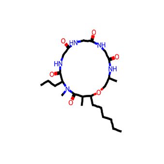 CCCCCCC1OCC(C)NC(=O)CNC(=O)CNC(=O)CNC(=O)C(CCC)N(C)C(=O)C1C